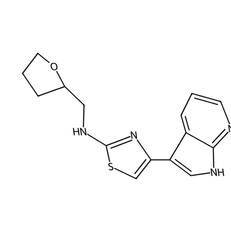 c1cnc2[nH]cc(-c3csc(NCC4CCCO4)n3)c2c1